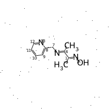 CC(=N\O)/C(C)=N/Cc1ccccn1